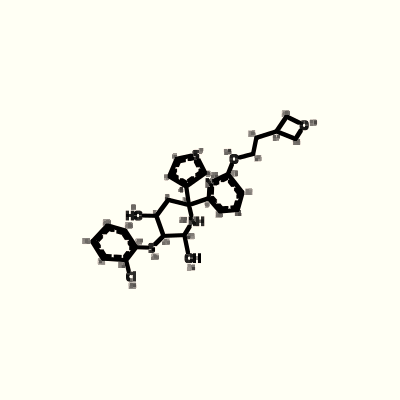 OC1CC(c2ccsc2)(c2cccc(OCCC3COC3)n2)NC(O)C1Sc1ccccc1Cl